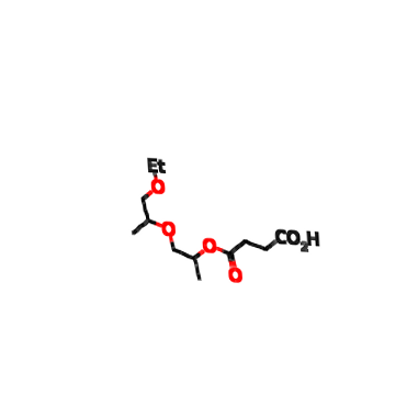 CCOCC(C)OCC(C)OC(=O)CCC(=O)O